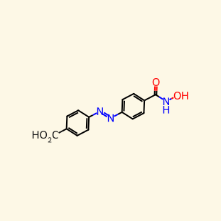 O=C(O)c1ccc(/N=N/c2ccc(C(=O)NO)cc2)cc1